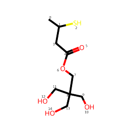 CC(S)CC(=O)OCC(CO)(CO)CO